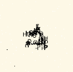 CC[C@]1(O)c2cc3n(c(=O)c2COC1O)Cc1c-3nc2cc(F)c(C)c3c2c1[C@@H](NC(=O)COCNC(=O)CNC(=O)[C@H](Cc1ccccc1)NC(=O)CNC(=O)CNC(=O)CCCCCN1C(=O)C=CC1=O)CC3